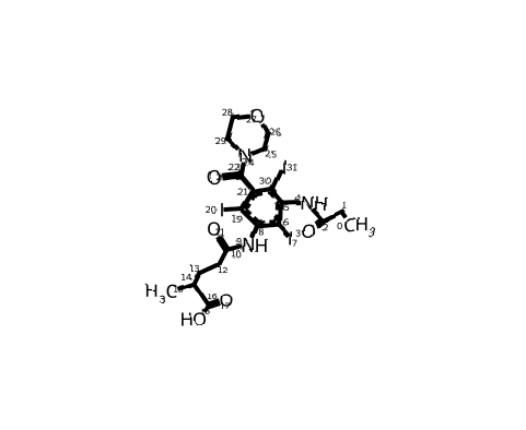 CCC(=O)Nc1c(I)c(NC(=O)CCC(C)C(=O)O)c(I)c(C(=O)N2CCOCC2)c1I